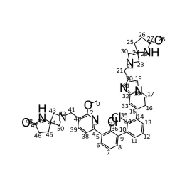 COc1nc(-c2cccc(-c3cccc(-c4ccn5cc(CN6CC7(CCC(=O)N7)C6)nc5c4)c3Cl)c2Cl)ccc1CN1CC2(CCC(=O)N2)C1